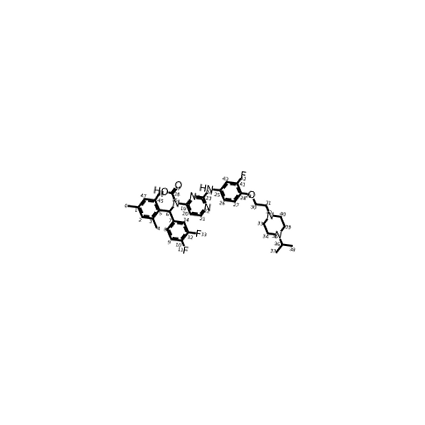 Cc1cc(C)c(C(c2ccc(F)c(F)c2)N(C(=O)O)c2ccnc(Nc3ccc(OCCN4CCN(C(C)C)CC4)c(F)c3)n2)c(C)c1